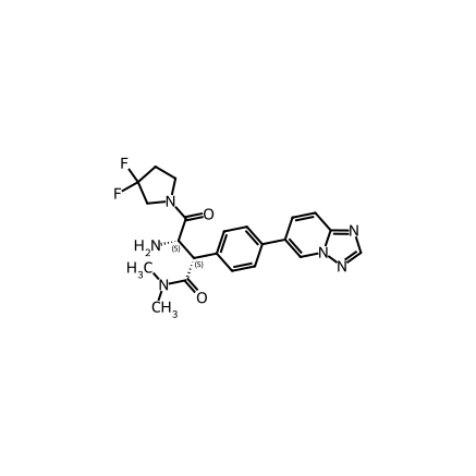 CN(C)C(=O)[C@@H](c1ccc(-c2ccc3ncnn3c2)cc1)[C@H](N)C(=O)N1CCC(F)(F)C1